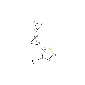 Cc1ccsc1[C@@H]1C[C@@H]1C1CC1